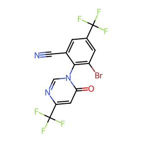 N#Cc1cc(C(F)(F)F)cc(Br)c1-n1cnc(C(F)(F)F)cc1=O